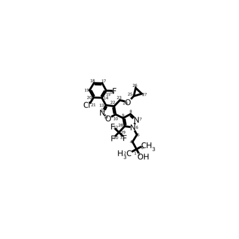 CC(C)(O)CCn1ncc(-c2onc(-c3c(F)cccc3Cl)c2COC2CC2)c1C(F)(F)F